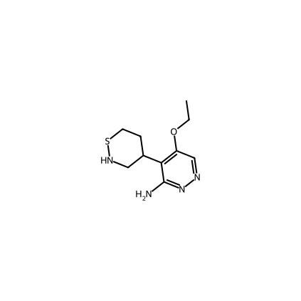 CCOc1cnnc(N)c1C1CCSNC1